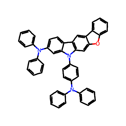 c1ccc(N(c2ccccc2)c2ccc(-n3c4cc(N(c5ccccc5)c5ccccc5)ccc4c4cc5c(cc43)oc3ccccc35)cc2)cc1